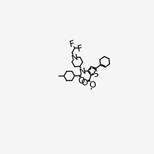 COC(=O)c1sc(C2=CCCCC2)cc1N(C(=O)C1CCC(C)CC1)C1CCN(CC(F)F)CC1